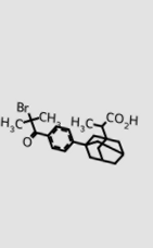 CC(C(=O)O)C12CC3CC(CC(c4ccc(C(=O)C(C)(C)Br)cc4)(C3)C1)C2